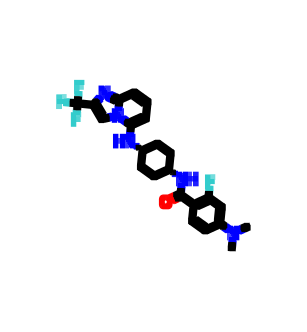 CN(C)c1ccc(C(=O)N[C@H]2CC[C@@H](Nc3cccc4nc(C(F)(F)F)cn34)CC2)c(F)c1